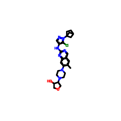 Cc1cc2cnc(Nc3cnn(C45CCC(C4)C5)c3Cl)nc2cc1N1CCN(C2COCC2O)CC1